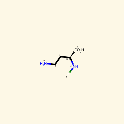 NCC[C@H](NF)C(=O)O